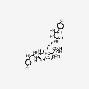 Cl.Cl.N=C(NCCCCCCNC(=N)NC(=N)Nc1ccc(Cl)cc1)NC(=N)Nc1ccc(Cl)cc1.O=C(O)C(O)C(O)C(=O)O